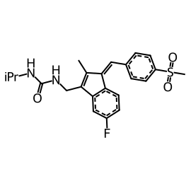 CC1=C(CNC(=O)NC(C)C)c2cc(F)ccc2C1=Cc1ccc(S(C)(=O)=O)cc1